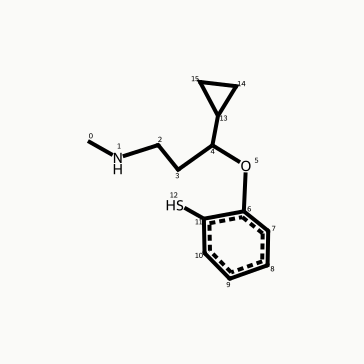 CNCCC(Oc1ccccc1S)C1CC1